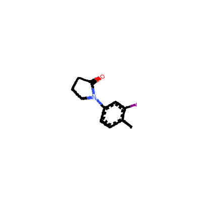 Cc1ccc(N2CCCC2=O)cc1I